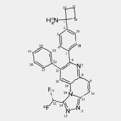 NC1(c2ccc(-c3nc4ccc5nnc(C(F)F)n5c4cc3-c3ccccc3)cc2)CCC1